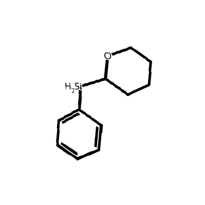 c1ccc([SiH2]C2CCCCO2)cc1